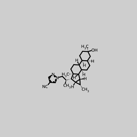 C[C@H]1[C@@H]2[C@H]1[C@H]([C@@H](C)Cn1cc(C#N)cn1)[C@@]1(C)CC[C@H]3[C@@H](CC[C@@H]4C[C@](C)(O)CC[C@@H]43)[C@H]21